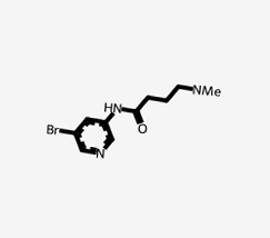 CNCCCC(=O)Nc1cncc(Br)c1